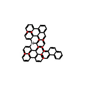 c1ccc(-c2cccc3cccc(-c4ccccc4N(c4cccc(-c5cccc6c5ccc5ccccc56)c4)c4ccccc4-c4cccc5cccc(-c6ccccc6)c45)c23)cc1